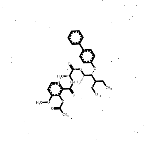 CCC(CC)[C@@H](Oc1ccc(-c2ccccc2)cc1)[C@H](C)OC(=O)[C@H](C)NC(=O)c1nccc(OC)c1OC(C)=O